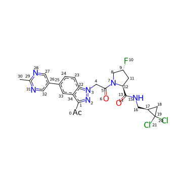 CC(=O)c1nn(CC(=O)N2C[C@H](F)C[C@H]2C(=O)NC[C@H]2CC2(Cl)Cl)c2ccc(-c3cnc(C)nc3)cc12